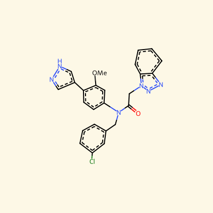 COc1cc(N(Cc2cccc(Cl)c2)C(=O)Cn2nnc3ccccc32)ccc1-c1cn[nH]c1